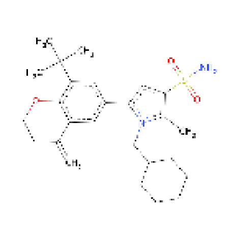 C=C1CCOc2c1cc(-c1cc(S(N)(=O)=O)c(C)n1CC1CCCCC1)cc2C(C)(C)C